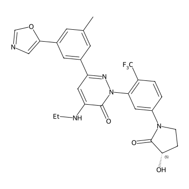 CCNc1cc(-c2cc(C)cc(-c3cnco3)c2)nn(-c2cc(N3CC[C@H](O)C3=O)ccc2C(F)(F)F)c1=O